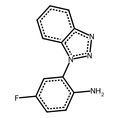 Nc1ccc(F)cc1-n1nnc2ccccc21